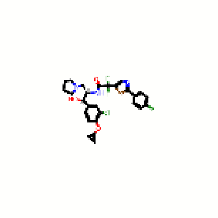 O=C(N[C@H](CN1CCCC1)[C@H](O)c1ccc(OC2CC2)c(Cl)c1)C(F)(F)c1cnc(-c2ccc(F)cc2)s1